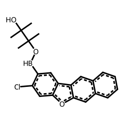 CC(C)(O)C(C)(C)OBc1cc2c(cc1Cl)oc1cc3ccccc3cc12